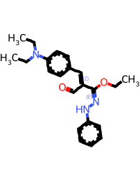 CCOC(=N/Nc1ccccc1)/C(C=O)=C/c1ccc(N(CC)CC)cc1